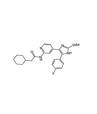 CSc1nc(-c2ccnc(NC(=O)CC3CCCCC3)c2)c(-c2ccc(F)cc2)[nH]1